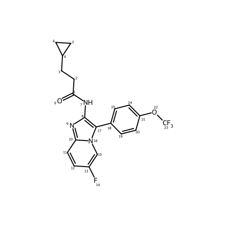 O=C(CCC1CC1)Nc1nc2ccc(F)cn2c1-c1ccc(OC(F)(F)F)cc1